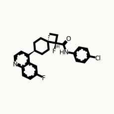 O=C(Nc1ccc(Cl)cc1)[C@@]1(F)CC[C@]12CC[C@H](c1ccnc3ccc(F)cc31)CC2